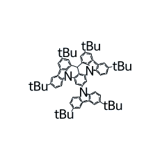 CC(C)(C)c1ccc2c(c1)c1cc(C(C)(C)C)ccc1n2-c1cc2c3c(c1)-n1c4ccc(C(C)(C)C)cc4c4cc(C(C)(C)C)cc(c41)C3c1cc(C(C)(C)C)cc3c4cc(C(C)(C)C)ccc4n-2c13